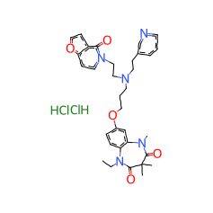 CCN1C(=O)C(C)(C)C(=O)N(C)c2cc(OCCCN(CCc3cccnc3)CCn3ccc4occc4c3=O)ccc21.Cl.Cl